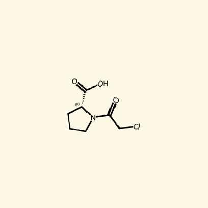 O=C(O)[C@H]1CCCN1C(=O)CCl